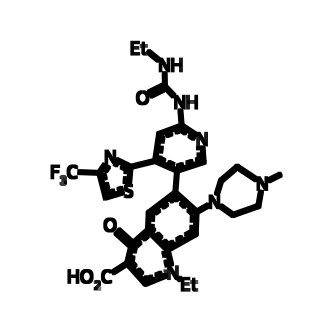 CCNC(=O)Nc1cc(-c2nc(C(F)(F)F)cs2)c(-c2cc3c(=O)c(C(=O)O)cn(CC)c3cc2N2CCN(C)CC2)cn1